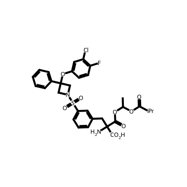 CC(OC(=O)C(C)C)OC(=O)C(N)(Cc1cccc(S(=O)(=O)N2CC(Oc3ccc(F)c(Cl)c3)(c3ccccc3)C2)c1)C(=O)O